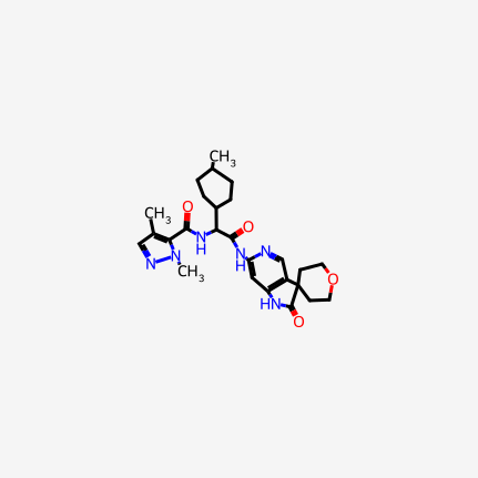 Cc1cnn(C)c1C(=O)NC(C(=O)Nc1cc2c(cn1)C1(CCOCC1)C(=O)N2)C1CCC(C)CC1